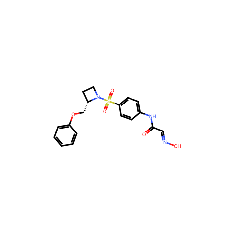 O=C(C=NO)Nc1ccc(S(=O)(=O)N2CC[C@H]2COc2ccccc2)cc1